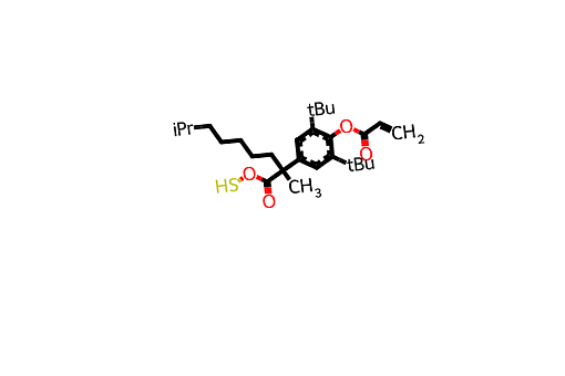 C=CC(=O)Oc1c(C(C)(C)C)cc(C(C)(CCCCCC(C)C)C(=O)OS)cc1C(C)(C)C